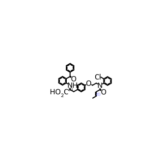 C/C=C/C(=O)N(CCOc1ccc(C[C@H](Nc2ccccc2C(=O)c2ccccc2)C(=O)O)cc1)c1ccccc1Cl